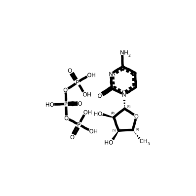 C[C@H]1O[C@@H](n2ccc(N)nc2=O)[C@H](O)[C@@H]1O.O=P(O)(O)OP(=O)(O)OP(=O)(O)O